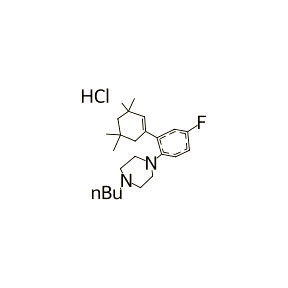 CCCCN1CCN(c2ccc(F)cc2C2=CC(C)(C)CC(C)(C)C2)CC1.Cl